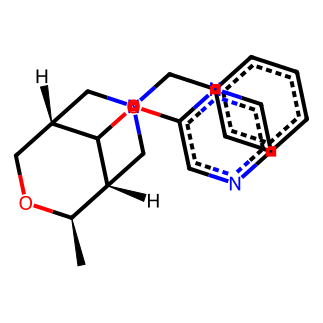 C[C@H]1OC[C@@H]2CN(Cc3ccccc3)C[C@H]1C2Oc1cnccn1